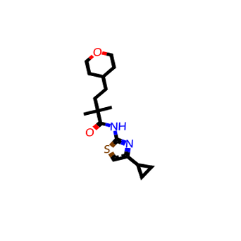 CC(C)(CCC1CCOCC1)C(=O)Nc1nc(C2CC2)cs1